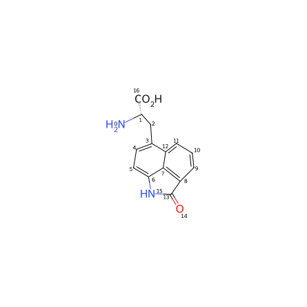 N[C@@H](Cc1ccc2c3c(cccc13)C(=O)N2)C(=O)O